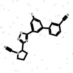 N#Cc1cccc(-c2cc(F)cc(-c3nc(C4CCCN4C#N)no3)c2)c1